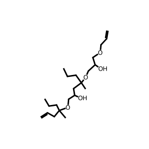 C=CCOCC(O)COC(C)(CCC)CC(O)COC(C)(CC=C)CCC